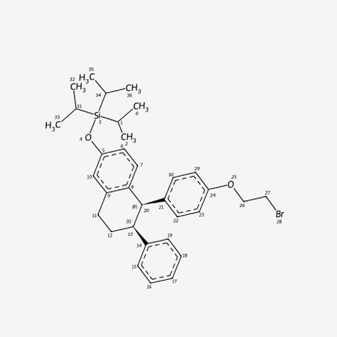 CC(C)[Si](Oc1ccc2c(c1)CC[C@H](c1ccccc1)[C@@H]2c1ccc(OCCBr)cc1)(C(C)C)C(C)C